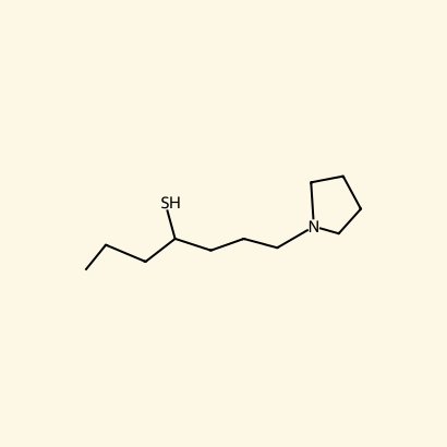 CCCC(S)CCCN1CCCC1